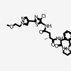 COCCn1cc(-c2nc(Cl)c(NC(=O)C[C@@H](C)C(=O)N[C@@H]3C(=O)N4CCCN4Cc4ccccc43)s2)cn1